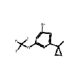 CC1(c2cc(Br)cc(OC(F)(F)F)c2)CC1